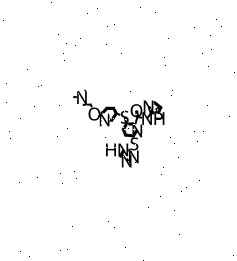 CN(C)CCOc1ccc(Sc2ccc(Sc3nnc[nH]3)nc2C(=O)Nc2nccs2)cn1